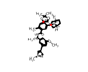 COc1cc(-c2cnn(C)c2)cc([C@@H](C)NC(=O)c2cc(N3C[C@H]4CC[C@@H](C3)N4C[C@@H]3COC(C)(C)O3)ccc2C)c1